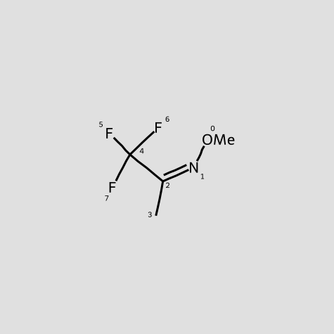 CO/N=C(/C)C(F)(F)F